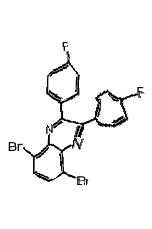 Fc1ccc(-c2nc3c(Br)ccc(Br)c3nc2-c2ccc(F)cc2)cc1